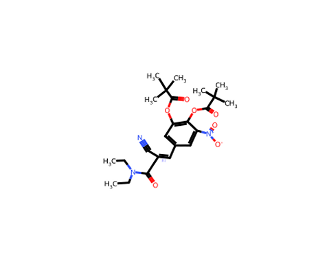 CCN(CC)C(=O)/C(C#N)=C/c1cc(OC(=O)C(C)(C)C)c(OC(=O)C(C)(C)C)c([N+](=O)[O-])c1